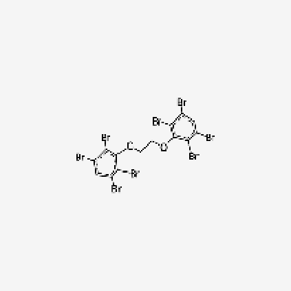 Brc1cc(Br)c(Br)c(OCCOc2c(Br)c(Br)cc(Br)c2Br)c1Br